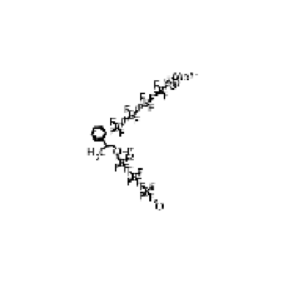 C=C(C[OH2+])c1ccccc1.F[B-](F)(F)F.F[B-](F)(F)F.F[B-](F)(F)F.F[B-](F)(F)F.F[B-](F)(F)F.F[B-](F)(F)F.F[B-](F)(F)F.[C]=O.[C]=O.[C]=O.[Mo+6]